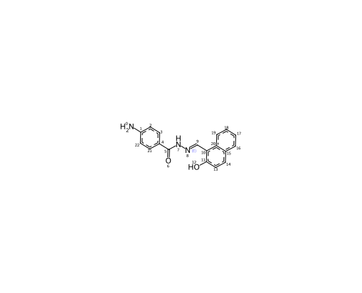 Nc1ccc(C(=O)N/N=C/c2c(O)ccc3ccccc23)cc1